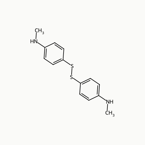 CNc1ccc(SSc2ccc(NC)cc2)cc1